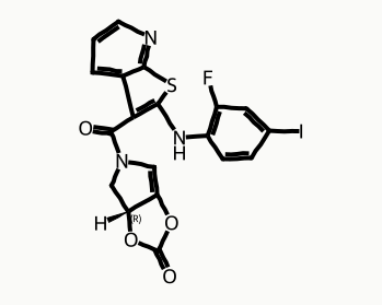 O=C1OC2=CN(C(=O)c3c(Nc4ccc(I)cc4F)sc4ncccc34)C[C@H]2O1